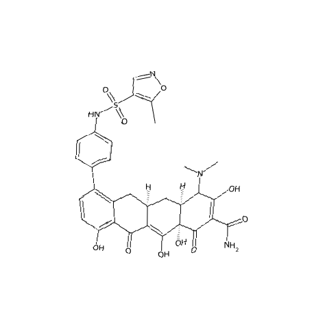 Cc1oncc1S(=O)(=O)Nc1ccc(-c2ccc(O)c3c2C[C@H]2C[C@H]4C(N(C)C)C(O)=C(C(N)=O)C(=O)[C@@]4(O)C(O)=C2C3=O)cc1